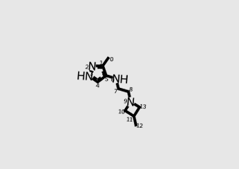 Cc1n[nH]cc1NCCN1CC(C)C1